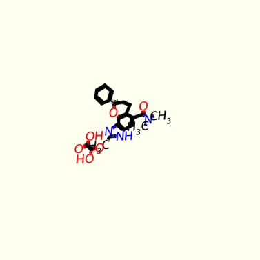 Cc1nc2c3c(c(C(=O)N(C)C)cc2[nH]1)CC[C@@H](c1ccccc1)O3.O=C(O)C(=O)O